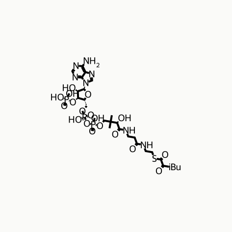 CCC(C)C(=O)C(=O)SCCNC(=O)CCNC(=O)[C@H](O)C(C)(C)COP(=O)(O)OP(=O)(O)OC[C@H]1O[C@@H](n2cnc3c(N)ncnc32)[C@H](O)[C@@H]1OP(=O)(O)O